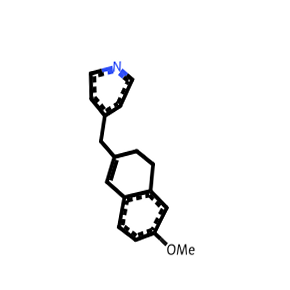 COc1ccc2c(c1)CCC(Cc1ccncc1)=C2